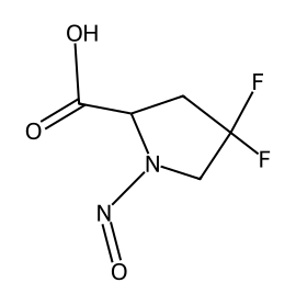 O=NN1CC(F)(F)CC1C(=O)O